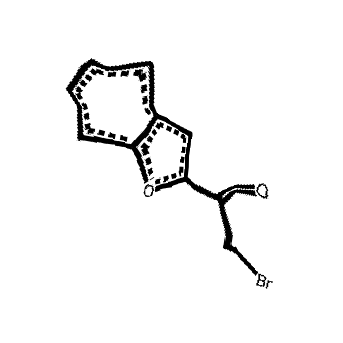 O=C(CBr)c1cc2ccccc2o1